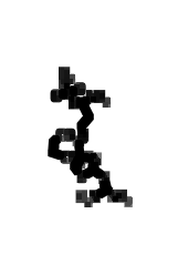 NC(N)=Nc1nc(CSCCC(N)=NS(N)(=O)=O)cs1.O=C(O)/C=C\C(=O)O